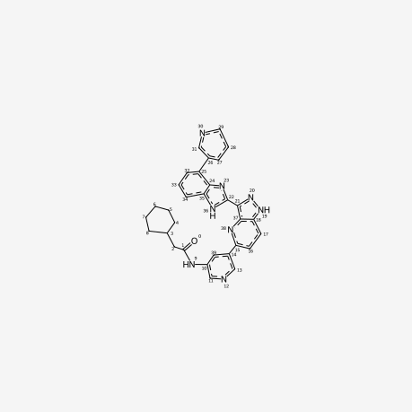 O=C(CC1CCCCC1)Nc1cncc(-c2ccc3[nH]nc(-c4nc5c(-c6cccnc6)cccc5[nH]4)c3n2)c1